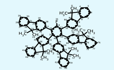 CC1(C)c2ccccc2-c2ccc(-c3c(F)c(-c4ccc5c(c4)C(C)(C)c4ccccc4-5)c(-c4ccc5c(c4)C(C)(C)c4ccccc4-5)c(-c4ccc5c(c4)C(C)(C)c4ccccc4-5)c3-c3ccc4c(c3)C(C)(C)c3ccccc3-4)cc21